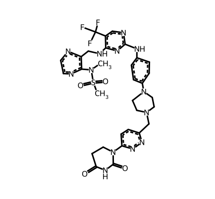 CN(c1nccnc1CNc1nc(Nc2ccc(N3CCN(Cc4ccc(N5CCC(=O)NC5=O)nn4)CC3)cc2)ncc1C(F)(F)F)S(C)(=O)=O